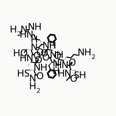 CC(=O)N[C@@H](CS)C(=O)N[C@@H](CCCCN)C(=O)N[C@@H](Cc1ccccc1)C(=O)N[C@@H](Cc1ccccc1)C(=O)N[C@@H](CCCNC(=N)N)C(=O)N[C@@H](CO)C(=O)N[C@@H](C)C(=O)N[C@@H](CS)C(N)=O